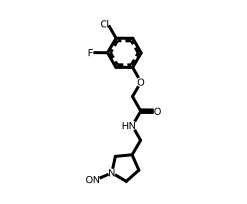 O=NN1CCC(CNC(=O)COc2ccc(Cl)c(F)c2)C1